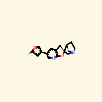 Fc1cc(-c2cnc3c(c2)C[C@@]2(CN4CCC2CC4)O3)co1